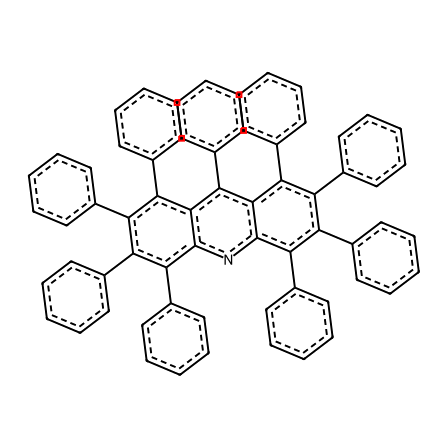 c1ccc(-c2c(-c3ccccc3)c(-c3ccccc3)c3c(-c4ccccc4)c4c(-c5ccccc5)c(-c5ccccc5)c(-c5ccccc5)c(-c5ccccc5)c4nc3c2-c2ccccc2)cc1